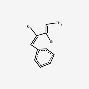 CC=C(Br)/C(Br)=C\c1ccccc1